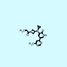 C=CC(=O)N1CC(N(c2cc(-c3cc(C)ncn3)c[nH]c2=O)C2CC2)C1